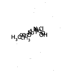 Cc1cccc(OCCCC(=O)N2CC3CC3c3c(-c4cnn(Cc5c(F)cc(C(=O)O)cc5Cl)c4)cccc32)c1C